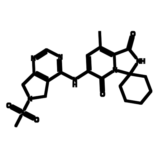 Cc1cc(Nc2ncnc3c2CN(S(C)(=O)=O)C3)c(=O)n2c1C(=O)NC21CCCCC1